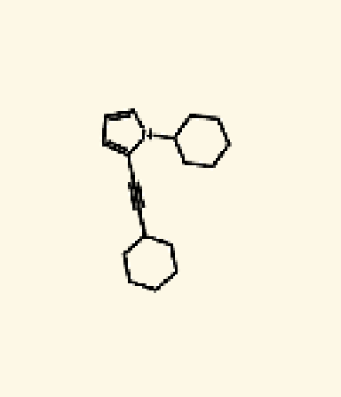 C(#CC1CCCCC1)c1cccn1C1CCCCC1